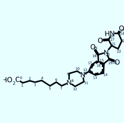 O=C(O)CCCCCCCN1CCN(c2ccc3c(c2)C(=O)N(C2CCC(=O)NC2=O)C3=O)CC1